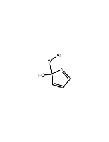 CC(=O)OC1(O)C=CC=N1